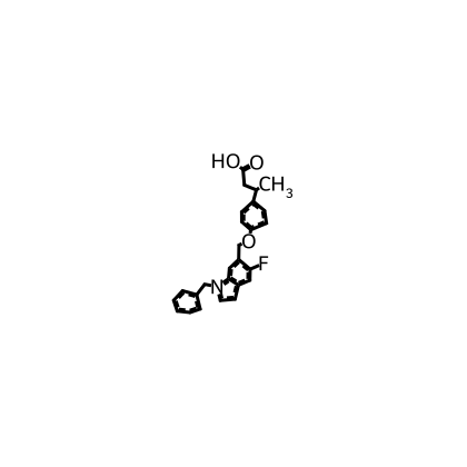 CC(CC(=O)O)c1ccc(OCc2cc3c(ccn3Cc3ccccc3)cc2F)cc1